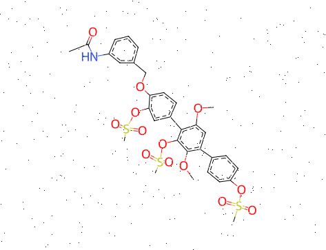 COc1cc(-c2ccc(OS(C)(=O)=O)cc2)c(OC)c(OS(C)(=O)=O)c1-c1ccc(OCc2cccc(NC(C)=O)c2)c(OS(C)(=O)=O)c1